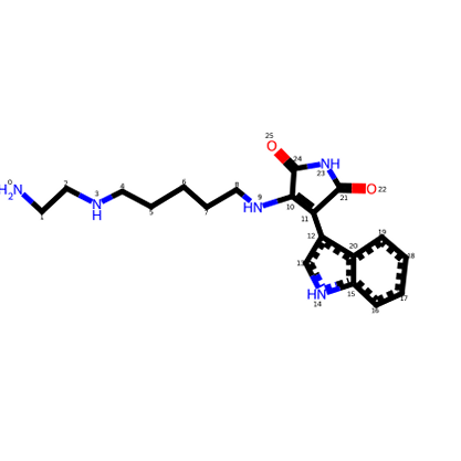 NCCNCCCCCNC1=C(c2c[nH]c3ccccc23)C(=O)NC1=O